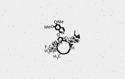 COc1cc2ccnc(O[C@@H]3C[C@H]4C(=O)N[C@]5(C(=O)NS(=O)(=O)C6(CF)CC6)C[C@H]5C=CCC[C@H](C)C[C@@H](C)[C@H](N(C(=O)O)C(C)(C)C(F)(F)F)C(=O)N4C3)c2cc1OC